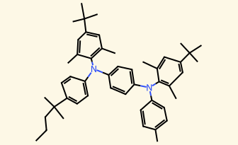 CCCC(C)(C)c1ccc(N(c2ccc(N(c3ccc(C)cc3)c3c(C)cc(C(C)(C)C)cc3C)cc2)c2c(C)cc(C(C)(C)C)cc2C)cc1